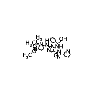 CC1(C)OB(OCC(F)(F)F)c2ccc(Nc3ncc(-c4nc(-c5cccnc5)no4)c(N[C@H](CO)c4ccccc4)n3)nc21